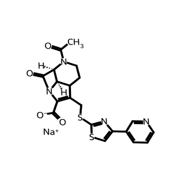 CC(=O)N1CCC2C(CSc3nc(-c4cccnc4)cs3)=C(C(=O)[O-])N3C(=O)[C@@H]1[C@@H]23.[Na+]